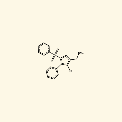 CCc1c(CNC)cn(S(=O)(=O)c2ccccc2)c1-c1ccccc1